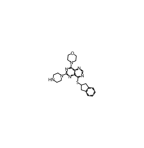 c1ccc2c(c1)CC(Sc1ncnc3c(N4CCOCC4)nc(N4CCNCC4)nc13)C2